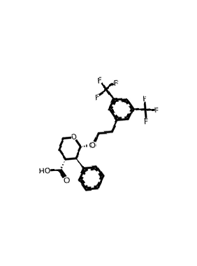 O=C(O)[C@@H]1CCO[C@H](OCCc2cc(C(F)(F)F)cc(C(F)(F)F)c2)[C@H]1c1ccccc1